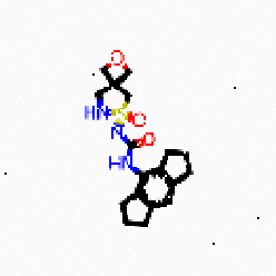 O=C(N=S1(=O)CC2(CN1)COC2)Nc1c2c(cc3c1CCC3)CCC2